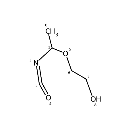 CC(N=C=O)OCCO